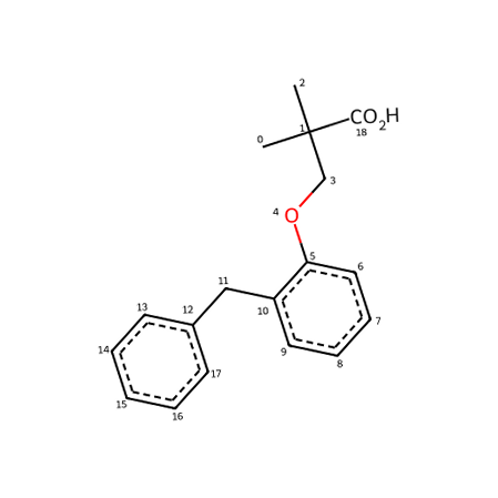 CC(C)(COc1ccccc1Cc1ccccc1)C(=O)O